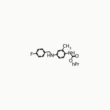 CCCOC(=O)Nc1ccc(NCc2ccc(F)cc2)cc1C